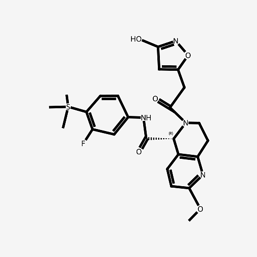 COc1ccc2c(n1)CCN(C(=O)Cc1cc(O)no1)[C@H]2C(=O)Nc1ccc(S(C)(C)C)c(F)c1